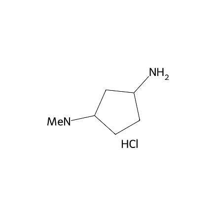 CNC1CCC(N)C1.Cl